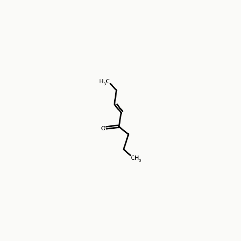 CCC=CC(=O)CCC